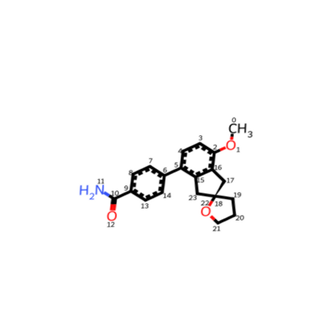 COc1ccc(-c2ccc(C(N)=O)cc2)c2c1C[C@]1(CCCO1)C2